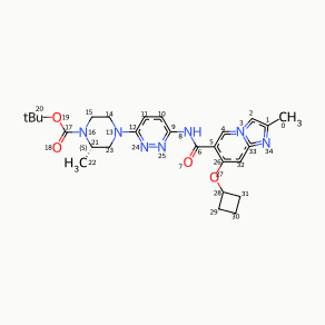 Cc1cn2cc(C(=O)Nc3ccc(N4CCN(C(=O)OC(C)(C)C)[C@@H](C)C4)nn3)c(OC3CCC3)cc2n1